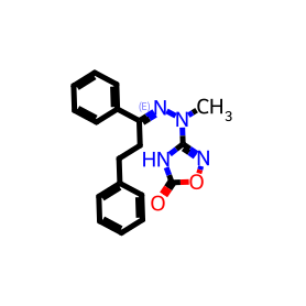 CN(/N=C(\CCc1ccccc1)c1ccccc1)c1noc(=O)[nH]1